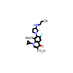 COc1c(N2CCC(NCCC#N)C2)c(F)cc2c(=O)c(C(=O)O)cn(C3CC3)c12